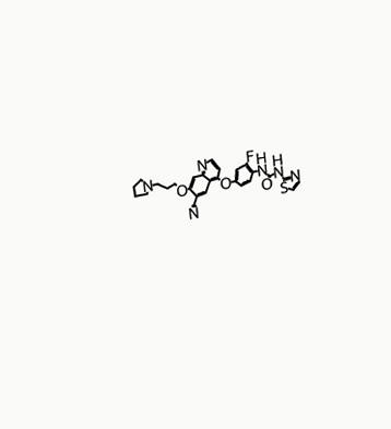 N#Cc1cc2c(Oc3ccc(NC(=O)Nc4nccs4)c(F)c3)ccnc2cc1OCCCN1CCCC1